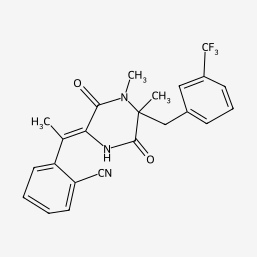 CC(=C1NC(=O)C(C)(Cc2cccc(C(F)(F)F)c2)N(C)C1=O)c1ccccc1C#N